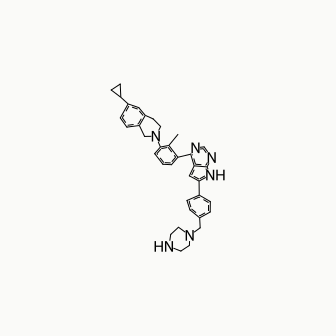 Cc1c(-c2ncnc3[nH]c(-c4ccc(CN5CCNCC5)cc4)cc23)cccc1N1CCc2cc(C3CC3)ccc2C1